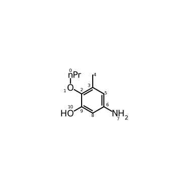 CCCOc1c(C)cc(N)cc1O